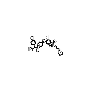 CC(C)C(C(=O)N1CCC(Oc2ccc(C(=O)NCCCN3CCCC3)cc2Cl)CC1)c1ccc(Cl)cc1